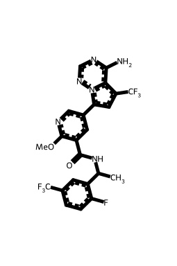 COc1ncc(-c2cc(C(F)(F)F)c3c(N)ncnn23)cc1C(=O)NC(C)c1cc(C(F)(F)F)ccc1F